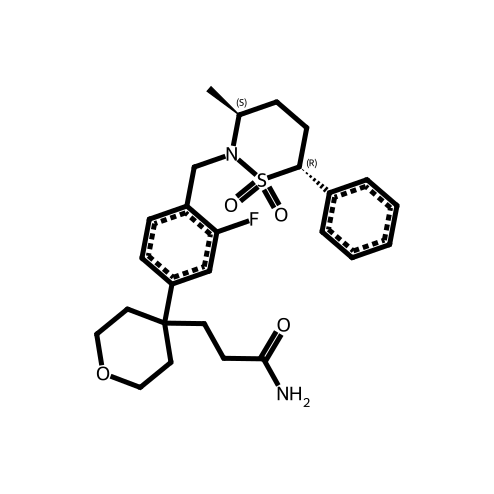 C[C@H]1CC[C@H](c2ccccc2)S(=O)(=O)N1Cc1ccc(C2(CCC(N)=O)CCOCC2)cc1F